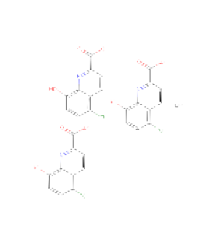 O=C([O-])c1ccc2c(Cl)ccc(O)c2n1.O=C([O-])c1ccc2c(Cl)ccc(O)c2n1.O=C([O-])c1ccc2c(Cl)ccc(O)c2n1.[Al+3]